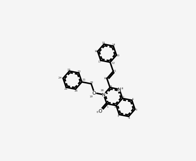 O=c1c2ccccc2nc(C=Cc2ccccc2)n1OCc1ccccc1